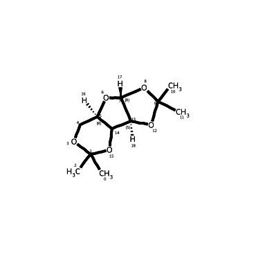 CC1(C)OC[C@H]2O[C@@H]3OC(C)(C)O[C@H]3C2O1